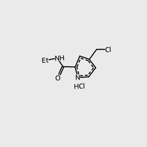 CCNC(=O)c1cc(CCl)ccn1.Cl